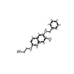 CC(C)CCOc1ccc2cc(OCc3ccccc3)c(Cl)cc2n1